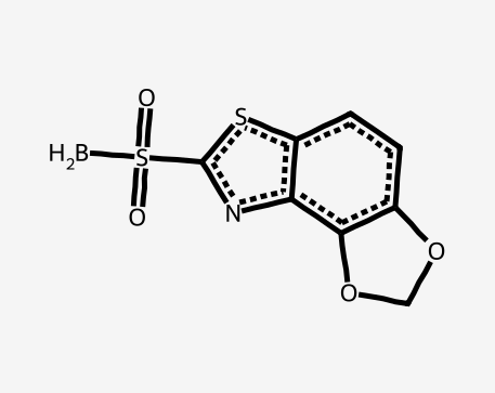 BS(=O)(=O)c1nc2c3c(ccc2s1)OCO3